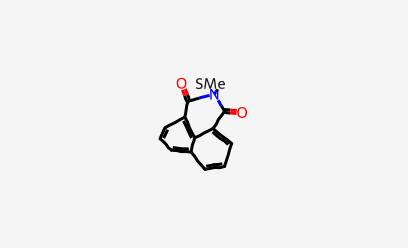 CSN1C(=O)c2cccc3cccc(c23)C1=O